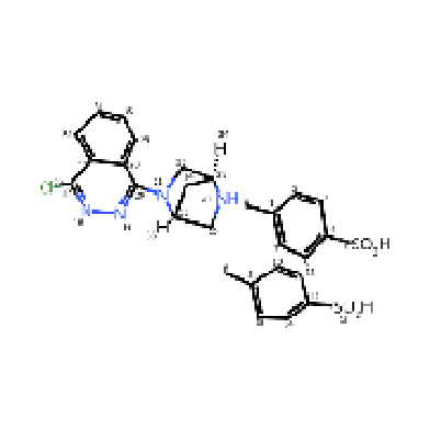 Cc1ccc(S(=O)(=O)O)cc1.Cc1ccc(S(=O)(=O)O)cc1.Clc1nnc(N2C[C@@H]3C[C@H]2CN3)c2ccccc12